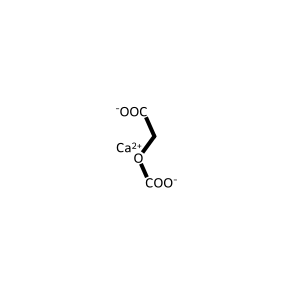 O=C([O-])COC(=O)[O-].[Ca+2]